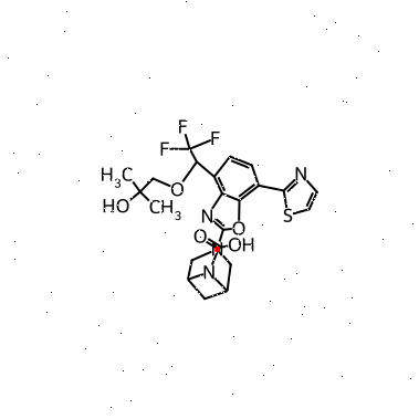 CC(C)(O)COC(c1ccc(-c2nccs2)c2oc(N3CC4CC(C3)N4C(=O)O)nc12)C(F)(F)F